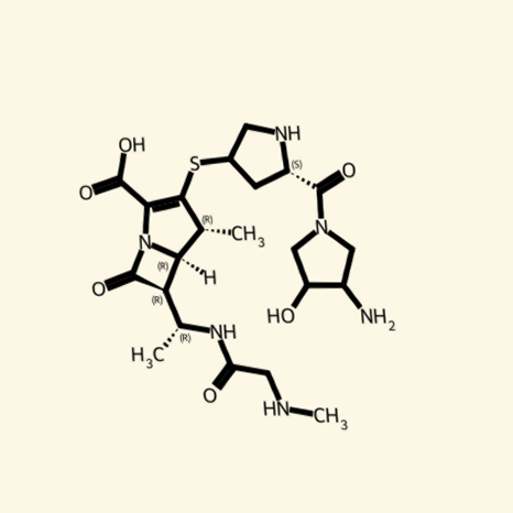 CNCC(=O)N[C@H](C)[C@H]1C(=O)N2C(C(=O)O)=C(SC3CN[C@H](C(=O)N4CC(N)C(O)C4)C3)[C@H](C)[C@@H]12